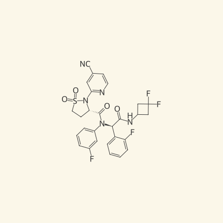 N#Cc1ccnc(N2[C@H](C(=O)N(c3cccc(F)c3)[C@@H](C(=O)NC3CC(F)(F)C3)c3ccccc3F)CCS2(=O)=O)c1